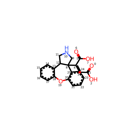 O=C(O)/C=C(\C(=O)O)C12CNCC1c1ccccc1Oc1ccccc12